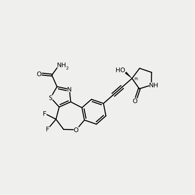 NC(=O)c1nc2c(s1)C(F)(F)COc1ccc(C#C[C@]3(O)CCNC3=O)cc1-2